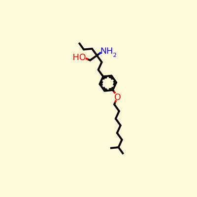 CCCC(N)(CO)CCc1ccc(OCCCCCCC(C)C)cc1